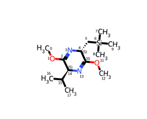 COC1=N[C@H](C[Si](C)(C)C)C(OC)=N[C@H]1C(C)C